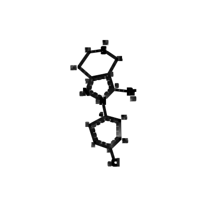 Clc1ccc(-n2nc3c(c2Br)CSCC3)cc1